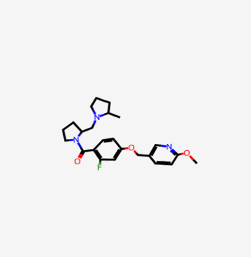 COc1ccc(COc2ccc(C(=O)N3CCCC3CN3CCCC3C)c(F)c2)cn1